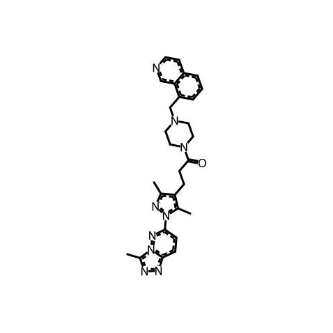 Cc1nn(-c2ccc3nnc(C)n3n2)c(C)c1CCC(=O)N1CCN(Cc2cccc3ccncc23)CC1